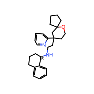 c1ccc(C2(CCN[C@@H]3CCCc4ccccc43)CCOC3(CCCC3)C2)nc1